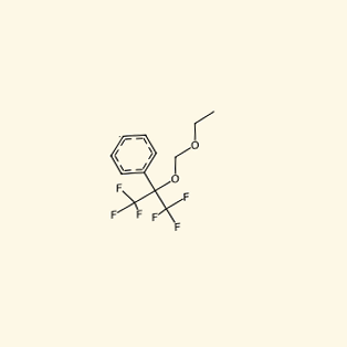 CCOCOC(c1cc[c]cc1)(C(F)(F)F)C(F)(F)F